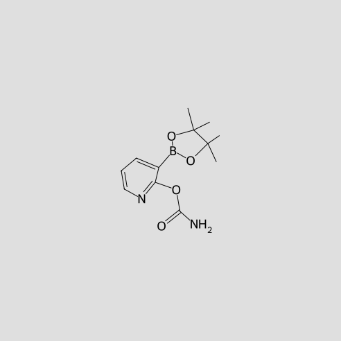 CC1(C)OB(c2cccnc2OC(N)=O)OC1(C)C